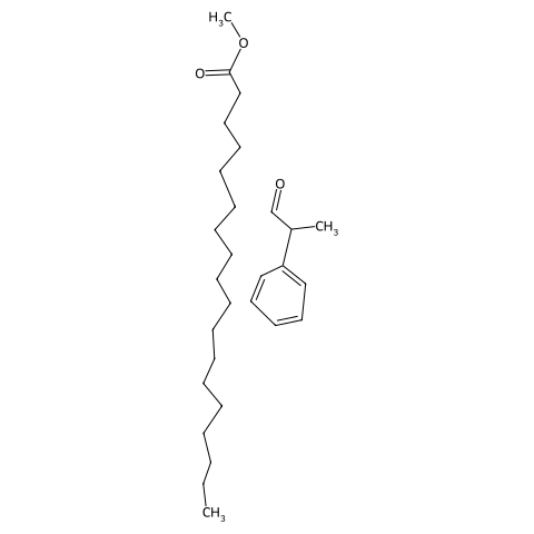 CC(C=O)c1ccccc1.CCCCCCCCCCCCCCCCCC(=O)OC